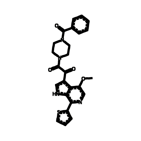 COc1cnc(-c2cccs2)c2[nH]cc(C(=O)C(=O)N3CCN(C(=O)c4ccccc4)CC3)c12